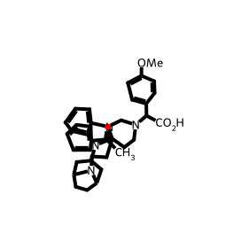 COc1ccc(C(C(=O)O)N2CCC(CCN3C4CCC3CC(n3c(C)nc5ccccc53)C4)(c3ccccc3)CC2)cc1